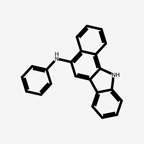 c1ccc(Nc2cc3c4ccccc4[nH]c3c3ccccc23)cc1